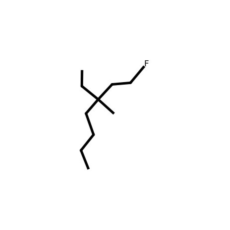 CCCCC(C)(CC)CCF